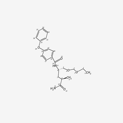 CCOCOC[C@H](C[C@@H](C)C(N)=O)NC(=O)c1ccc(Oc2ccccc2)cc1